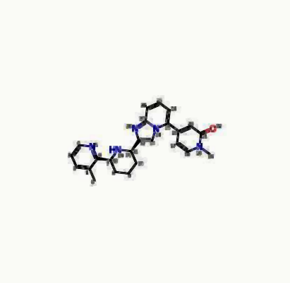 Cc1cccnc1[C@@H]1CCC[C@H](c2cn3c(-c4ccn(C)c(=O)c4)cccc3n2)N1